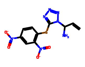 C=CC(N)n1nnnc1Sc1ccc([N+](=O)[O-])cc1[N+](=O)[O-]